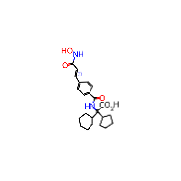 O=C(/C=C/c1ccc(C(=O)N[C@](C(=O)O)(C2CCCCC2)C2CCCC2)cc1)NO